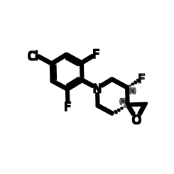 Fc1cc(Cl)cc(F)c1N1CC[C@@]2(CO2)[C@@H](F)C1